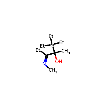 CCC(=NC)C(C)(O)[Si](CC)(CC)CC